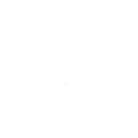 Cc1ccc(Cn2c(C)cc(=O)c(C(=O)Nc3ccccc3C)c2-c2cccc(C)c2)cc1